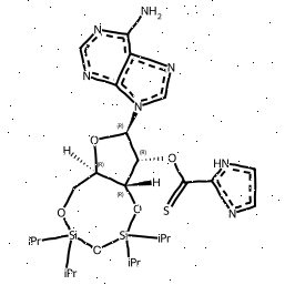 CC(C)[Si]1(C(C)C)OC[C@H]2O[C@@H](n3cnc4c(N)ncnc43)[C@H](OC(=S)c3ncc[nH]3)[C@@H]2O[Si](C(C)C)(C(C)C)O1